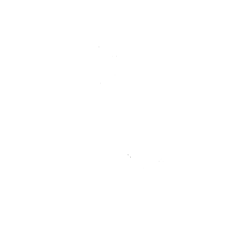 CC(C(=O)OC(C)(C)C)c1ccc(N2Cc3ccccc3C2=O)cc1